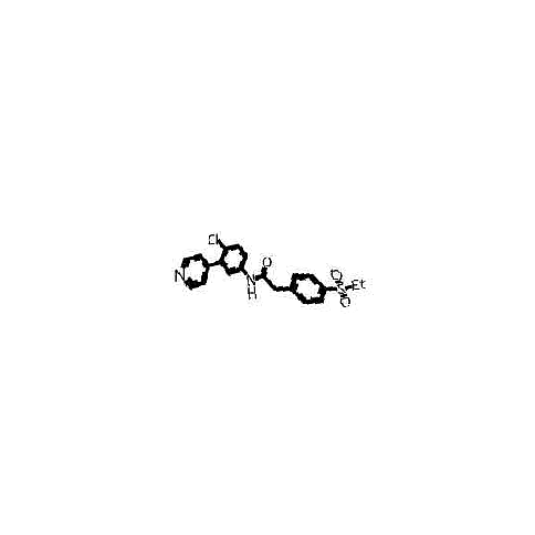 CCS(=O)(=O)c1ccc(CC(=O)Nc2ccc(Cl)c(-c3ccncc3)c2)cc1